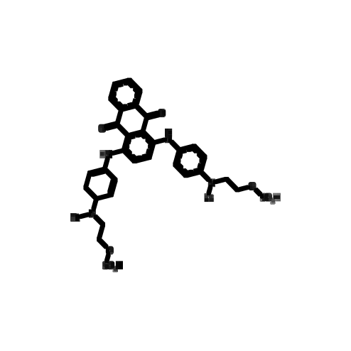 CCN(CCOS(=O)(=O)O)c1ccc(Nc2ccc(NC3=CCC(N(CC)CCOS(=O)(=O)O)C=C3)c3c2C(=O)c2ccccc2C3=O)cc1